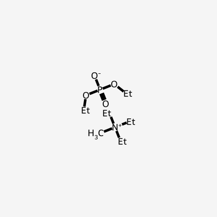 CCOP(=O)([O-])OCC.CC[N+](C)(CC)CC